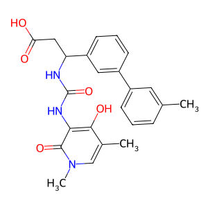 Cc1cccc(-c2cccc(C(CC(=O)O)NC(=O)Nc3c(O)c(C)cn(C)c3=O)c2)c1